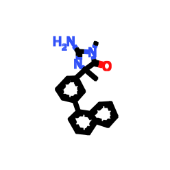 CN1C(=O)C(C)(c2cccc(-c3cccc4ccccc34)c2)N=C1N